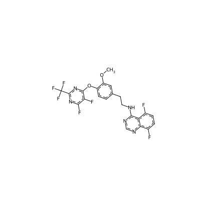 COc1cc(CCNc2ncnc3c(F)ccc(F)c23)ccc1Oc1nc(C(F)(F)F)nc(F)c1F